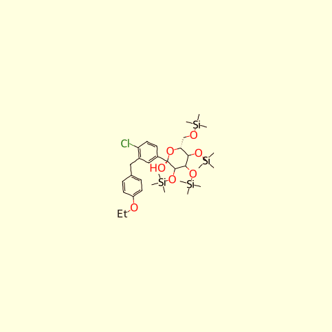 CCOc1ccc(Cc2cc([C@]3(O)O[C@H](CO[Si](C)(C)C)C(O[Si](C)(C)C)C(O[Si](C)(C)C)C3O[Si](C)(C)C)ccc2Cl)cc1